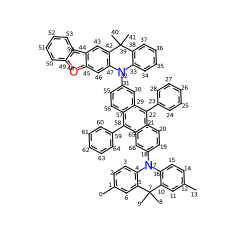 Cc1ccc2c(c1)C(C)(C)c1cc(C)ccc1N2c1ccc2c(-c3ccccc3)c3cc(N4c5ccccc5C(C)(C)c5cc6c(cc54)oc4ccccc46)ccc3c(-c3ccccc3)c2c1